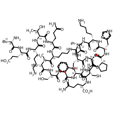 CC[C@H](C)[C@H](N)C(=O)N[C@@H](CCC(=O)O)C(=O)N[C@@H](CCCCN)C(=O)N[C@H](C(=O)N[C@@H](CCC(N)=O)C(=O)N[C@@H](CCCNC(=N)N)C(=O)N(C)[C@H](C(=O)N[C@@H](CO)C(=O)NCC(=O)N[C@@H](Cc1ccccc1)C(=O)N[C@@H](CS)C(=O)N1CCC[C@H]1C(=O)N[C@@H](Cc1c[nH]cn1)C(=O)N[C@@H](CCCCN)C(=O)N[C@H](C(=O)N[C@@H](CO)C(=O)N[C@@H](C)C(=O)NCC(=O)N[C@@H](CCC(N)=O)C(=O)O)C(C)C)C(C)(C)C)[C@@H](C)O